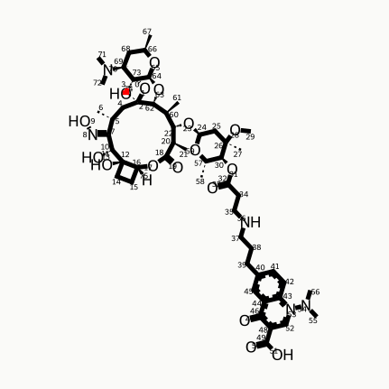 CO[C@]1(C)C[C@@H](C)/C(=N\O)[C@@H](O)[C@@]2(O)CC[C@H]2OC(=O)[C@H](C)[C@@H](O[C@H]2C[C@@](C)(OC)[C@@H](OC(=O)CCNCCCc3ccc4c(c3)c(=O)c(C(=O)O)cn4N(C)C)[C@H](C)O2)[C@H](C)[C@H]1O[C@@H]1O[C@H](C)C[C@H](N(C)C)[C@H]1O